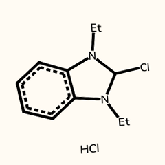 CCN1c2ccccc2N(CC)C1Cl.Cl